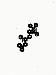 c1ccc(-c2cc(-c3cccc(-c4cccc5c4cc(-c4ccccc4)n4nc(-c6ccccc6)c(-c6ccccc6)c54)c3)cc(-c3cccc(-n4c5ccccc5c5ccccc54)c3)n2)cc1